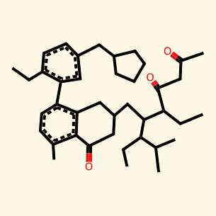 CCc1ccc(CC2CCCC2)cc1-c1ccc(C)c2c1CC(CC(C(CC)C(=O)CC(C)=O)C(CC)C(C)C)CC2=O